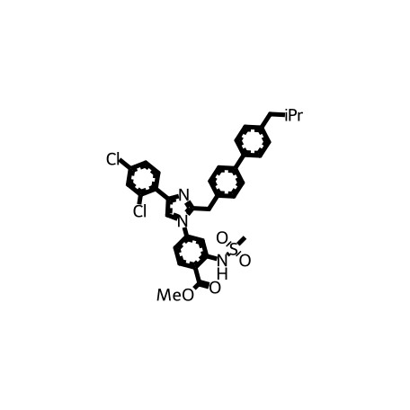 COC(=O)c1ccc(-n2cc(-c3ccc(Cl)cc3Cl)nc2Cc2ccc(-c3ccc(CC(C)C)cc3)cc2)cc1NS(C)(=O)=O